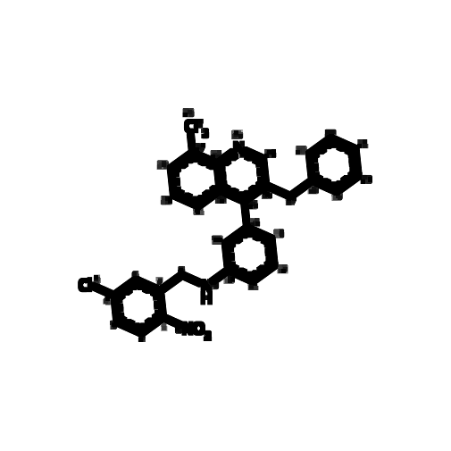 O=[N+]([O-])c1ccc(Cl)cc1CNc1cccc(-c2c(Cc3ccccc3)cnc3c(C(F)(F)F)cccc23)c1